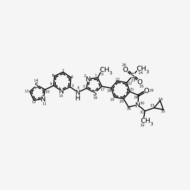 Cc1nc(Nc2cccc(-c3nccs3)n2)sc1-c1cc2c(c(S(C)(=O)=O)c1)C(=O)N(C(C)C1CC1)C2